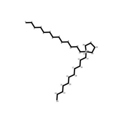 CCCCCCCCCCCCC[N+]1(CCCCCCCCCCC)CCCC1